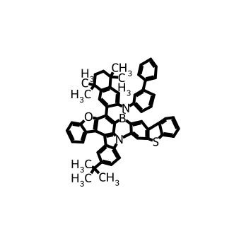 CC(C)(C)c1ccc2c(c1)c1c3c(oc4ccccc43)c3c4c1n2-c1cc2sc5ccccc5c2cc1B4N(c1cccc(-c2ccccc2)c1)c1cc2c(cc1-3)C(C)(C)CCC2(C)C